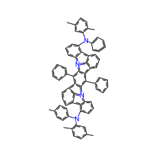 Cc1ccc(N(c2cc(C)ccc2C)c2cccc3c2c2cccc4c5c(-c6ccccc6)c6c(c(-c7ccccc7)c5n3c24)c2cccc3c4c(N(C5=CC=C=C=C5)c5cc(C)ccc5C)cccc4n6c32)cc1